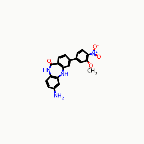 COc1cc(-c2ccc3c(c2)Nc2cc(N)ccc2NC3=O)ccc1[N+](=O)[O-]